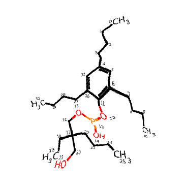 CCCCc1cc(CCCC)c(OP(O)OCC(CC)(CO)CCCC)c(CCCC)c1